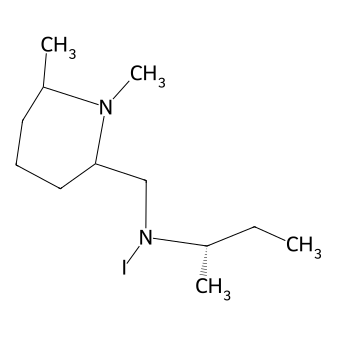 CC[C@H](C)N(I)CC1CCCC(C)N1C